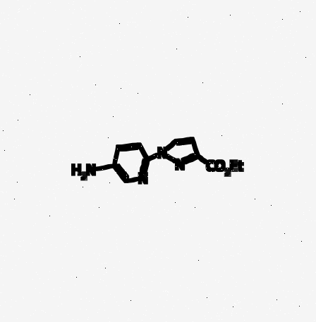 CCOC(=O)c1ccn(-c2ccc(N)cn2)n1